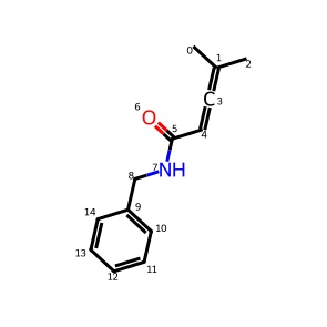 CC(C)=C=CC(=O)NCc1ccccc1